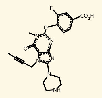 CC#CCn1c(N2CCNCC2)nc2nc(Oc3ccc(C(=O)O)cc3F)n(C)c(=O)c21